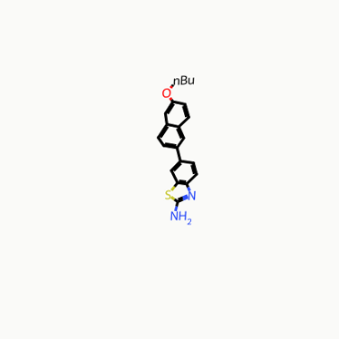 CCCCOc1ccc2cc(-c3ccc4nc(N)sc4c3)ccc2c1